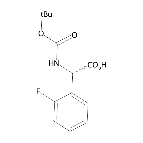 CC(C)(C)OC(=O)N[C@H](C(=O)O)c1ccccc1F